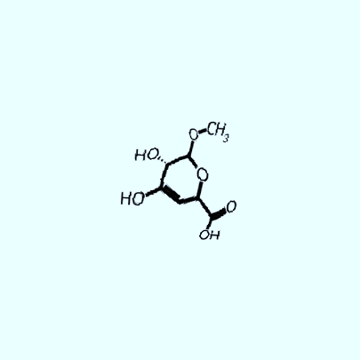 COC1OC(C(=O)O)C=C(O)[C@@H]1O